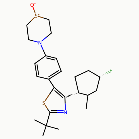 CC1C[C@@H](F)CC[C@H]1c1nc(C(C)(C)C)sc1-c1ccc(N2CC[S+]([O-])CC2)cc1